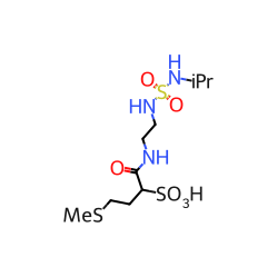 CSCCC(C(=O)NCCNS(=O)(=O)NC(C)C)S(=O)(=O)O